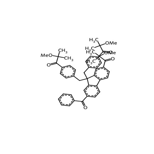 COC(C)(C)C(=O)c1ccc(CC2(Cc3ccc(C(=O)C(C)(C)OC)cc3)c3cc(C(=O)c4ccccc4)ccc3-c3ccc(C(=O)C(C)(C)OC)cc32)cc1